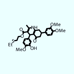 CCSCCOC(=O)C1=C(C)NC2=C(C(=O)CC(c3ccc(OC)c(OC)c3)C2)C1c1ccc(OC)c(O)c1